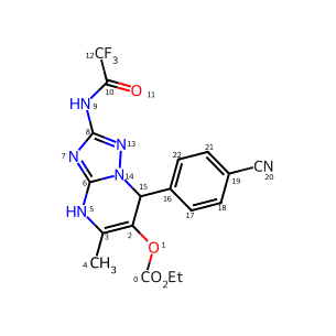 CCOC(=O)OC1=C(C)Nc2nc(NC(=O)C(F)(F)F)nn2C1c1ccc(C#N)cc1